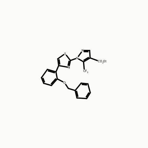 CCOC(=O)c1cnn(-c2nc(-c3ccccc3OCc3ccccc3)cs2)c1C(F)(F)F